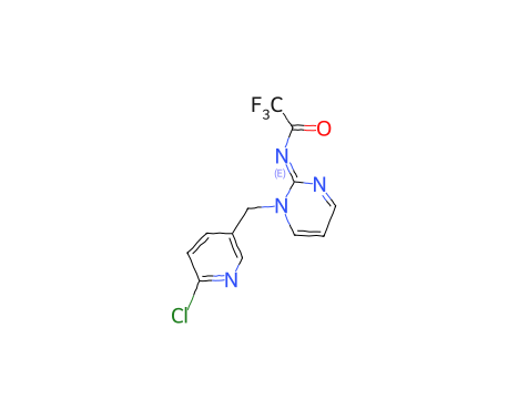 O=C(/N=c1\ncccn1Cc1ccc(Cl)nc1)C(F)(F)F